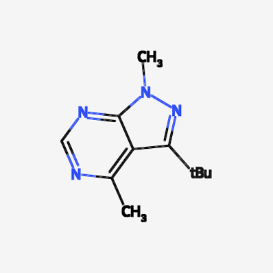 Cc1ncnc2c1c(C(C)(C)C)nn2C